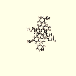 CN(C)C(C=C(c1cccnc1)c1cccc(Br)c1)OC(=O)C(=O)OC(C=C(c1cccnc1)c1cccc(Br)c1)N(C)C